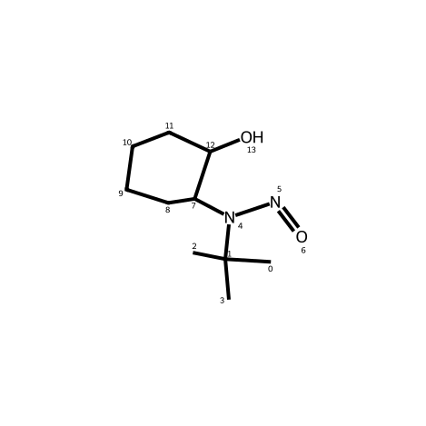 CC(C)(C)N(N=O)C1CCCCC1O